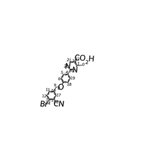 Cc1nc(-c2ccc(OCc3ccc(Br)c(C#N)c3)cc2)ncc1C(=O)O